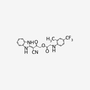 Cc1cc(C(F)(F)F)ccc1NCC(=O)OCC(=O)C(C#N)=C1Nc2ccccc2N1